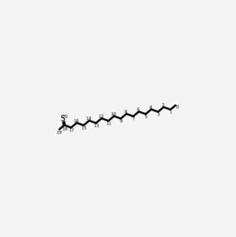 CCCCCCCCCCCCCCCCCCC(C)=S